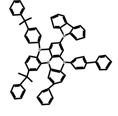 CC(C)(c1ccccc1)c1ccc(N2c3ccc(C(C)(C)c4ccccc4)cc3B3c4cc(-c5ccccc5)ccc4N(c4ccc(-c5ccccc5)cc4)c4cc(-n5c6ccccc6c6ccccc65)cc2c43)cc1